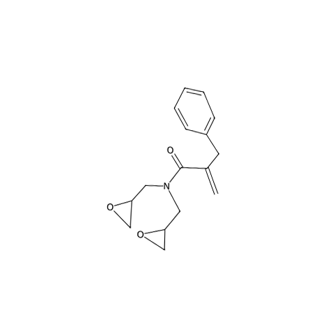 C=C(Cc1ccccc1)C(=O)N(CC1CO1)CC1CO1